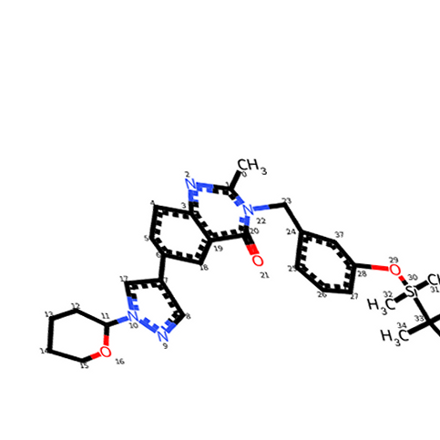 Cc1nc2ccc(-c3cnn(C4CCCCO4)c3)cc2c(=O)n1Cc1cccc(O[Si](C)(C)C(C)(C)C)c1